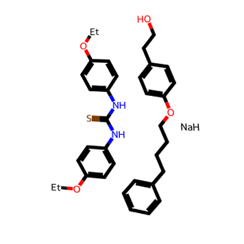 CCOc1ccc(NC(=S)Nc2ccc(OCC)cc2)cc1.OCCc1ccc(OCCCCc2ccccc2)cc1.[NaH]